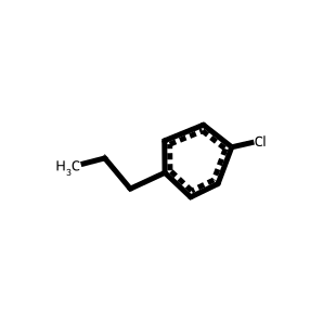 C[CH]Cc1ccc(Cl)cc1